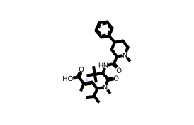 C/C(=C\C(C(C)C)N(C)C(=O)C(NC(=O)C1CC(c2ccccc2)CCN1C)C(C)(C)C)C(=O)O